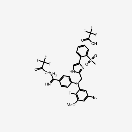 CCc1cc(OC)c(F)c(N(Cc2nc(-c3ccccc3S(C)(=O)=O)c[nH]2)c2ccc(C(=N)N)cc2)c1.O=C(O)C(F)(F)F.O=C(O)C(F)(F)F